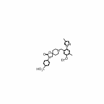 CCOc1cc(CN2CCC3(CC2)CN(c2ccc(C(=O)O)cc2)C(=O)O3)c(-n2cc(C)cn2)cc1C